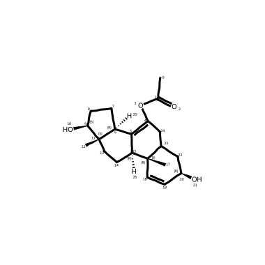 CC(=O)OC1=C2[C@@H]3CC[C@H](O)[C@@]3(C)CC[C@@H]2[C@@]2(C)C=C[C@H](O)CC2C1